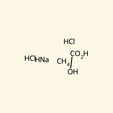 C.Cl.Cl.O=C(O)O.[NaH]